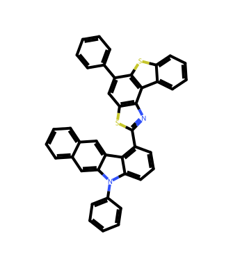 c1ccc(-c2cc3sc(-c4cccc5c4c4cc6ccccc6cc4n5-c4ccccc4)nc3c3c2sc2ccccc23)cc1